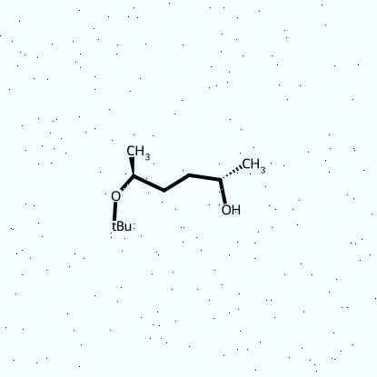 C[C@H](O)CC[C@H](C)OC(C)(C)C